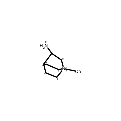 NC1C[N+]2([O-])CCC1CC2